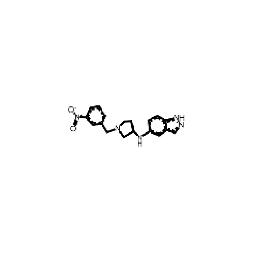 O=[N+]([O-])c1cccc(CN2CCC(Nc3ccc4[nH]ncc4c3)C2)c1